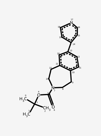 CC(C)(C)OC(=O)N1CCc2ccc(-c3ccncc3)cc2CC1